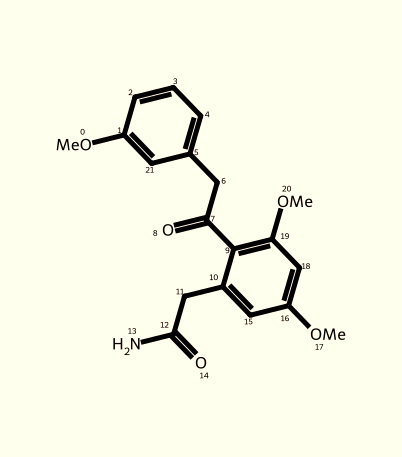 COc1cccc(CC(=O)c2c(CC(N)=O)cc(OC)cc2OC)c1